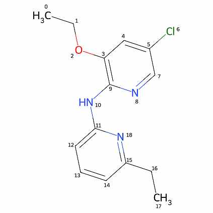 CCOc1cc(Cl)cnc1Nc1cccc(CC)n1